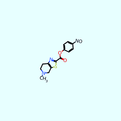 CN1CCc2nc(C(=O)Oc3ccc(N=O)cc3)sc2C1